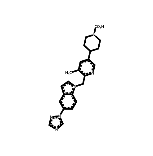 Cc1cc(C2CCN(C(=O)O)CC2)cnc1Cn1ccc2cc(-n3cncn3)ccc21